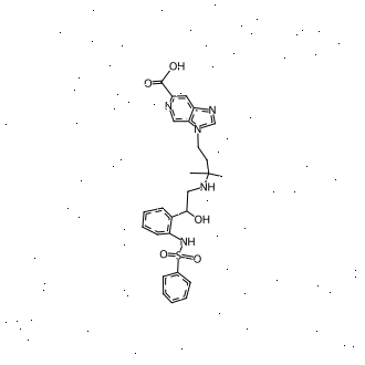 CC(C)(CCn1cnc2cc(C(=O)O)ncc21)NCC(O)c1ccccc1NS(=O)(=O)c1ccccc1